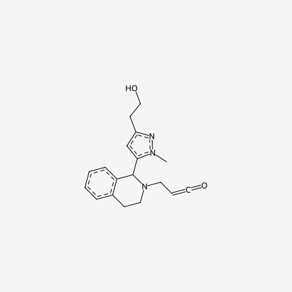 Cn1nc(CCO)cc1C1c2ccccc2CCN1CC=C=O